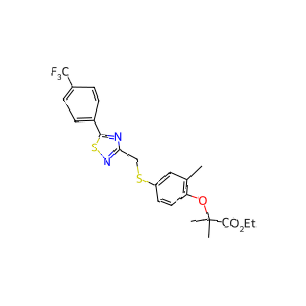 CCOC(=O)C(C)(C)Oc1ccc(SCc2nsc(-c3ccc(C(F)(F)F)cc3)n2)cc1C